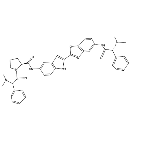 CN(C)C(C(=O)N1CCC[C@H]1C(=O)Nc1ccc2[nH]c(-c3nc4cc(NC(=O)[C@@H](c5ccccc5)N(C)C)ccc4o3)cc2c1)c1ccccc1